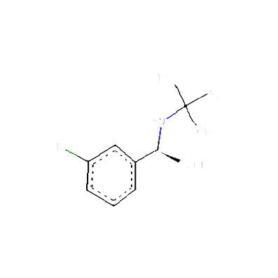 C[C@H](NC(C)(C)C)c1cccc(F)c1